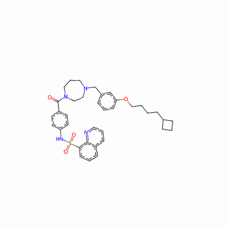 O=C(c1ccc(NS(=O)(=O)c2cccc3cccnc23)cc1)N1CCCN(Cc2cccc(OCCCCC3CCC3)c2)CC1